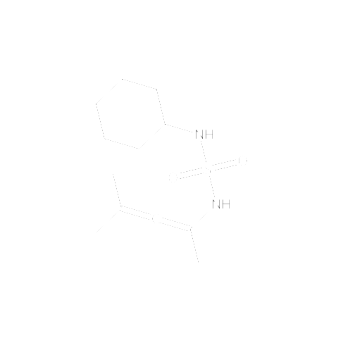 CC(C)=C=C(C)NS(=O)(=O)NC1CCCCC1